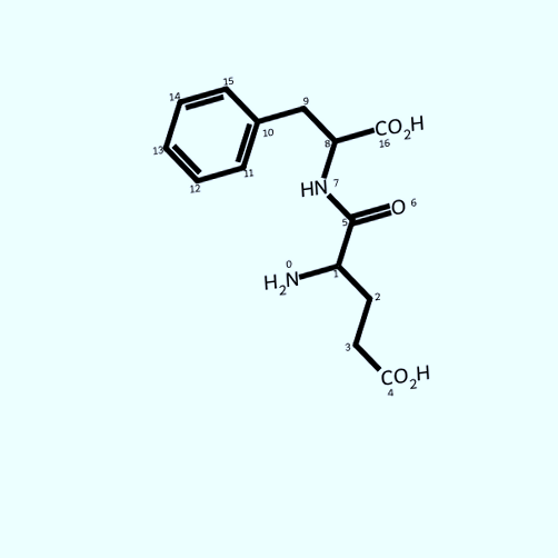 NC(CCC(=O)O)C(=O)NC(Cc1ccccc1)C(=O)O